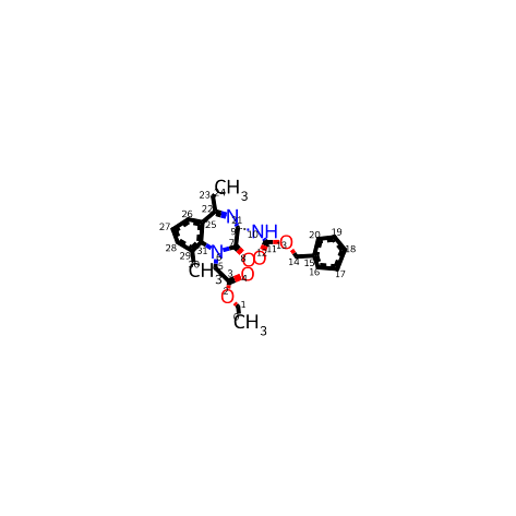 CCOC(=O)CN1C(=O)[C@@H](NC(=O)OCc2ccccc2)N=C(CC)c2cccc(C)c21